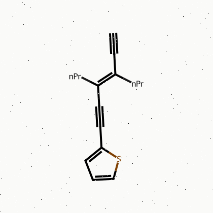 C#C/C(CCC)=C(/C#Cc1cccs1)CCC